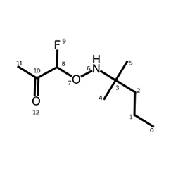 CCCC(C)(C)NOC(F)C(C)=O